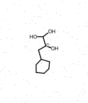 OC(O)[C@@H](O)CC1CCCCC1